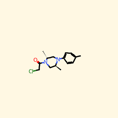 Cc1ccc(N2C[C@@H](C)N(C(=O)CCl)C[C@@H]2C)cc1